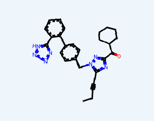 CCC#Cc1nc(C(=O)C2CCCCC2)nn1Cc1ccc(-c2ccccc2-c2nnn[nH]2)cc1